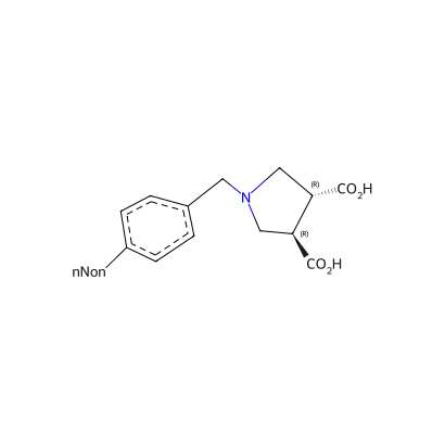 CCCCCCCCCc1ccc(CN2C[C@H](C(=O)O)[C@@H](C(=O)O)C2)cc1